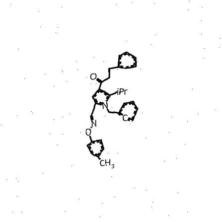 Cc1ccc(O/N=C/c2cc(C(=O)CCc3ccccc3)c(C(C)C)n2Cc2ccccc2)cc1